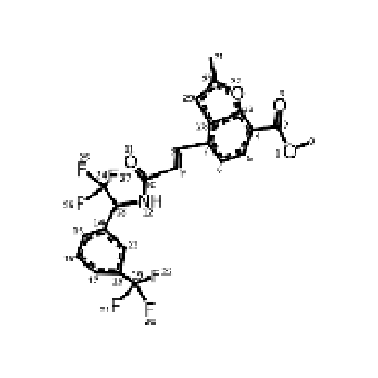 COC(=O)c1ccc(C=CC(=O)NC(c2cccc(C(F)(F)F)c2)C(F)(F)F)c2cc(C)oc12